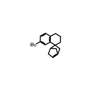 CCC(C)c1ccc2c(c1)C1(CCC2)CC2=CCC1C2